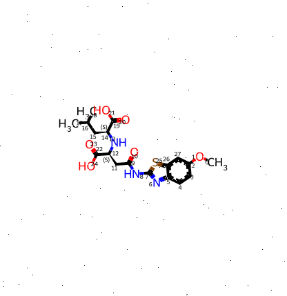 COc1ccc2nc(NC(=O)C[C@H](N[C@@H](CC(C)C)C(=O)O)C(=O)O)sc2c1